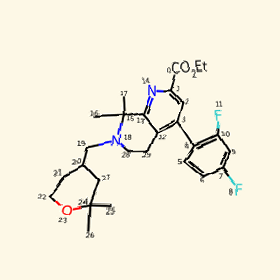 CCOC(=O)c1cc(-c2ccc(F)cc2F)c2c(n1)C(C)(C)N(CC1CCOC(C)(C)C1)CC2